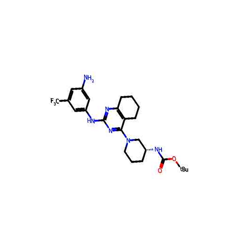 CC(C)(C)OC(=O)N[C@@H]1CCCN(c2nc(Nc3cc(N)cc(C(F)(F)F)c3)nc3c2CCCC3)C1